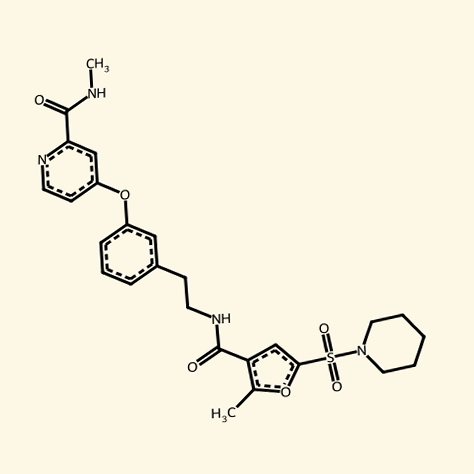 CNC(=O)c1cc(Oc2cccc(CCNC(=O)c3cc(S(=O)(=O)N4CCCCC4)oc3C)c2)ccn1